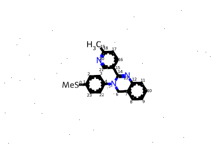 CSc1ccc(N2Cc3ccccc3N=C2c2ccc(C)nc2)cc1